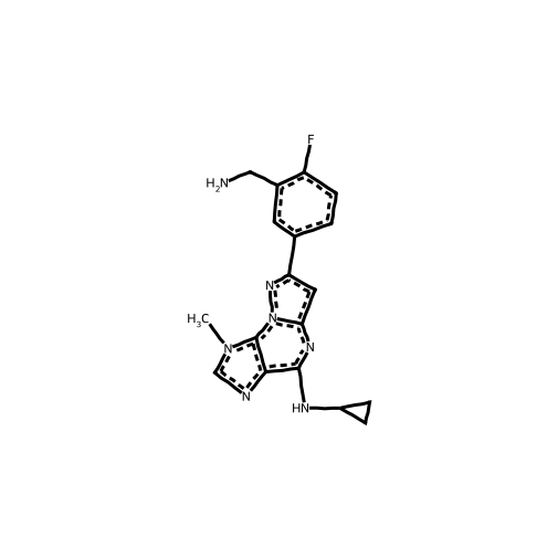 Cn1cnc2c(NC3CC3)nc3cc(-c4ccc(F)c(CN)c4)nn3c21